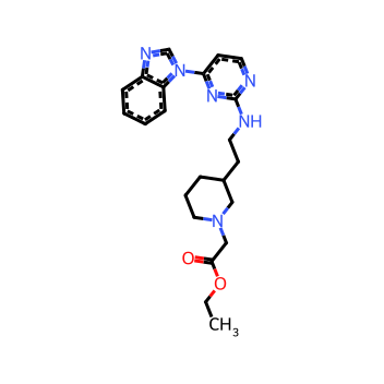 CCOC(=O)CN1CCCC(CCNc2nccc(-n3cnc4ccccc43)n2)C1